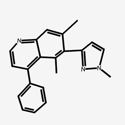 Cc1cc2nccc(-c3ccccc3)c2c(C)c1-c1ccn(C)n1